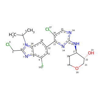 CC(C)n1c(CCl)nc2c(F)cc(-c3nc(N[C@@H]4CCOC[C@H]4O)ncc3Cl)cc21